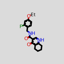 CCOc1ccc(CNC(=O)c2c[nH]c3c(c2=O)CCCC3)c(F)c1